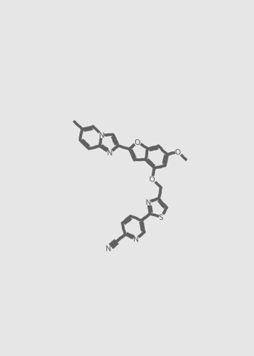 COc1cc(OCc2csc(-c3ccc(C#N)nc3)n2)c2cc(-c3cn4cc(C)ccc4n3)oc2c1